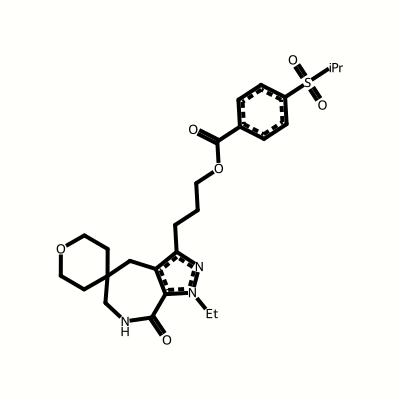 CCn1nc(CCCOC(=O)c2ccc(S(=O)(=O)C(C)C)cc2)c2c1C(=O)NCC1(CCOCC1)C2